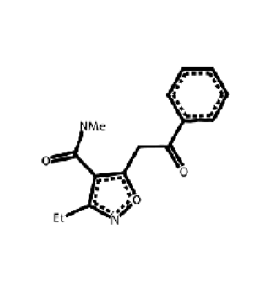 CCc1noc(CC(=O)c2ccccc2)c1C(=O)NC